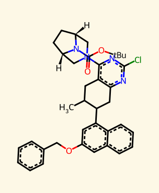 CC1Cc2c(nc(Cl)nc2N2C[C@H]3CC[C@@H](C2)N3C(=O)OC(C)(C)C)CC1c1cc(OCc2ccccc2)cc2ccccc12